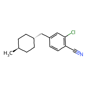 C[C@H]1CC[C@H](Cc2ccc(C#N)c(Cl)c2)CC1